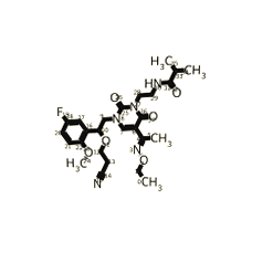 CCO/N=C(\C)c1cn(CC(OCCC#N)c2cc(F)ccc2OC)c(=O)n(CCNC(=O)C(C)C)c1=O